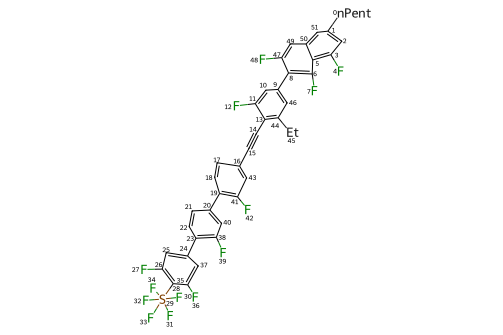 CCCCCc1cc(F)c2c(F)c(-c3cc(F)c(C#Cc4ccc(-c5ccc(-c6cc(F)c(S(F)(F)(F)(F)F)c(F)c6)c(F)c5)c(F)c4)c(CC)c3)c(F)cc2c1